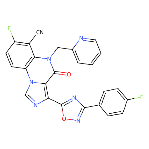 N#Cc1c(F)ccc2c1n(Cc1ccccn1)c(=O)c1c(-c3nc(-c4ccc(F)cc4)no3)ncn12